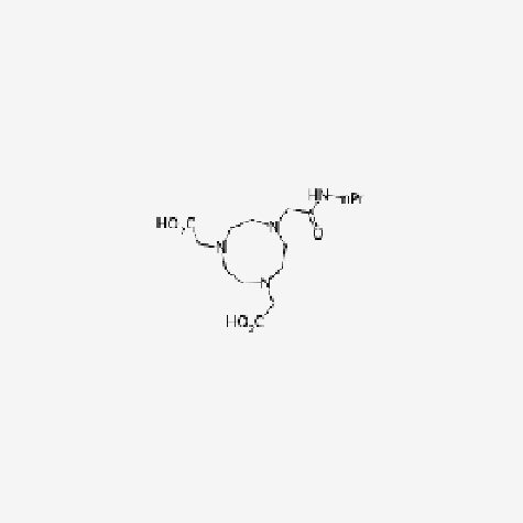 CCCNC(=O)CN1CCN(CC(=O)O)CCN(CC(=O)O)CC1